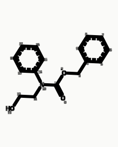 O=C(OCc1ccccc1)N(CCO)c1ccccc1